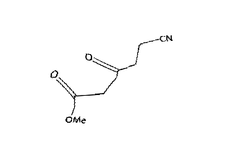 COC(=O)CC(=O)CCC#N